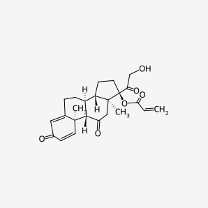 C=CC(=O)O[C@]1(C(=O)CO)CC[C@H]2[C@@H]3CCC4=CC(=O)C=C[C@]4(C)[C@H]3C(=O)C[C@@]21C